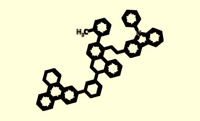 Cc1ccccc1-c1ccc2c(c1CCc1ccc3c4ccccc4n(-c4ccccc4)c3c1)-c1ccccc1C(C1=CC(c3ccc4c(c3)c3c(c5ccccc54)CCC=C3)CC=C1)C2